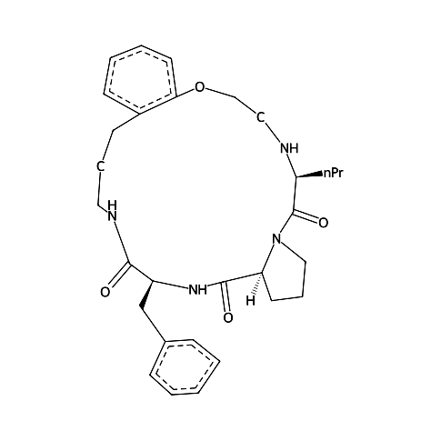 CCC[C@@H]1NCCOc2ccccc2CCCNC(=O)[C@H](Cc2ccccc2)NC(=O)[C@@H]2CCCN2C1=O